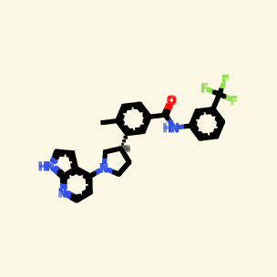 Cc1ccc(C(=O)Nc2cccc(C(F)(F)F)c2)cc1[C@@H]1CCN(c2ccnc3[nH]ccc23)C1